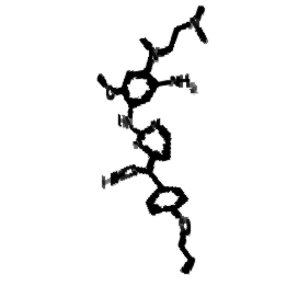 CCCOc1ccc(C(O)c2ccnc(Nc3cc(N)c(N(C)CCN(C)C)cc3OC)n2)cc1